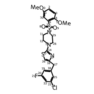 COc1ccc(OC)c(S(=O)(=O)N2CCN(c3nc(Cc4cc(F)cc(Cl)c4)cs3)CC2)c1